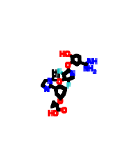 CN1CC=NC1c1cc(OC2(C(=O)O)CC2)ccc1Oc1c(F)cnc(Oc2cc(C(=N)N)ccc2O)c1F